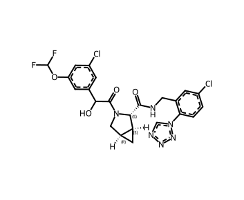 O=C(NCc1cc(Cl)ccc1-n1cnnn1)[C@@H]1[C@H]2C[C@H]2CN1C(=O)C(O)c1cc(Cl)cc(OC(F)F)c1